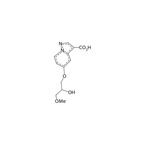 COCC(O)COc1ccn2ncc(C(=O)O)c2c1